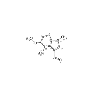 COc1ccc2c(c(C=O)cn2C)c1N